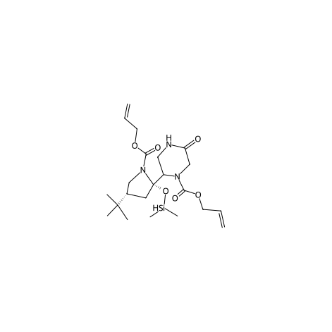 C=CCOC(=O)N1CC(=O)NCC1[C@@]1(O[SiH](C)C)C[C@H](C(C)(C)C)CN1C(=O)OCC=C